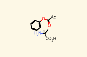 CC(=O)C(=O)Oc1ccccc1.C[C@H](N)C(=O)O